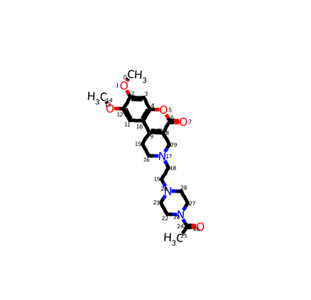 COc1cc2oc(=O)c3c(c2cc1OC)CCN(CCN1CCN(C(C)=O)CC1)C3